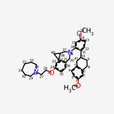 COc1ccc2c(c1)CCC(c1ccc(OC)cc1N(Cc1ccc(OCCN3CCCCCC3)cc1)CC1CC1)C2